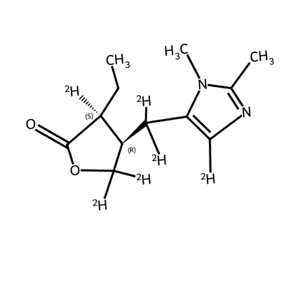 [2H]c1nc(C)n(C)c1C([2H])([2H])[C@H]1C([2H])([2H])OC(=O)[C@@]1([2H])CC